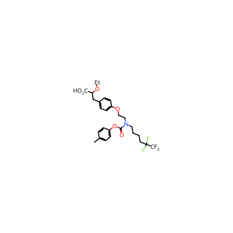 CCOC(Cc1ccc(OCCN(CCCCC(F)(F)C(F)(F)F)C(=O)Oc2ccc(C)cc2)cc1)C(=O)O